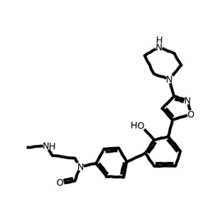 CNCCN(C=O)c1ccc(-c2cccc(-c3cc(N4CCNCC4)no3)c2O)cc1